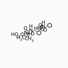 CC1(C)S[C@@H]2C(NC(=O)Cc3ccccc3NS(=O)(=O)NC(=O)c3ccccc3)C(=O)N2[C@H]1C(=O)O